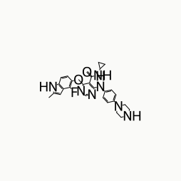 Cc1cc2c(F)c(Oc3ncnc(Nc4ccc(N5CCNCC5)cc4)c3C(=O)NC3CC3)ccc2[nH]1